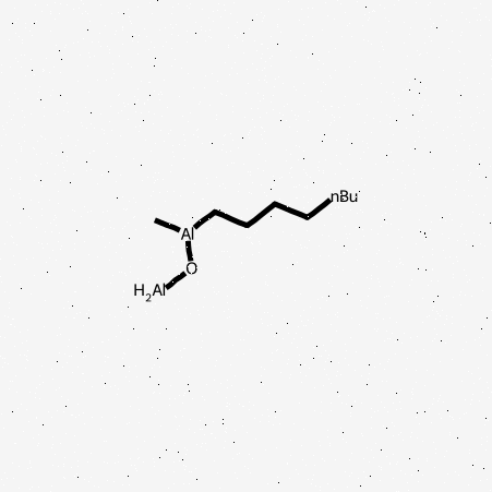 CCCCCCC[CH2][Al]([CH3])[O][AlH2]